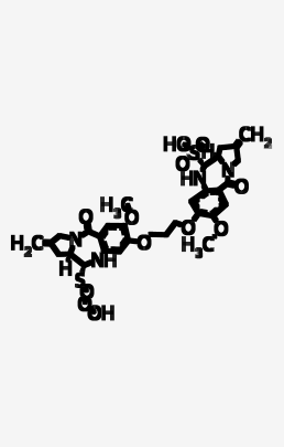 C=C1C[C@H]2[C@H](S(=O)(=O)O)Nc3cc(OCCCOc4cc5c(cc4OC)C(=O)N4CC(=C)C[C@H]4[C@H](SOOO)N5)c(OC)cc3C(=O)N2C1